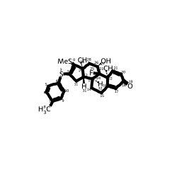 CSC1=C(Sc2ccc(C)cc2)C[C@H]2[C@@H]3CCC4=CC(=O)C=C[C@]4(C)C3(F)[C@@H](O)C[C@]12C